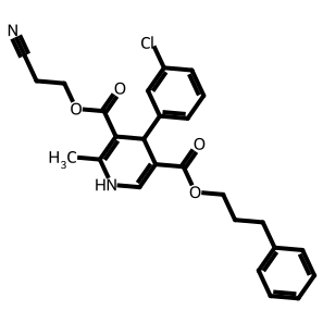 CC1=C(C(=O)OCCC#N)C(c2cccc(Cl)c2)C(C(=O)OCCCc2ccccc2)=CN1